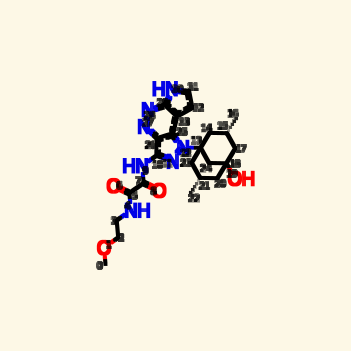 COCCNC(=O)C(=O)Nc1nn(C23C[C@H](C)CC(O)(C[C@H](C)C2)C3)c2c1nnc1[nH]ccc12